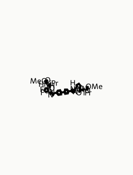 COC(=O)N[C@H](C(=O)N1CCCC1c1ncc(-c2ccc(-c3ccc(-c4cnc([C@H]5CC(F)(F)C[C@H]5C(=O)N(NC(=O)OC)C(C)C)[nH]4)cc3)cc2)[nH]1)C(C)C